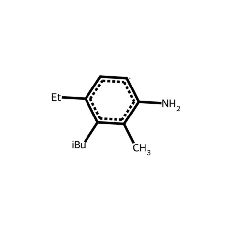 CCc1c[c]c(N)c(C)c1C(C)CC